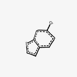 [O]c1ccc2ccsc2c1